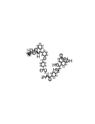 CC(C)N(CCOC(=O)c1ccc(COc2cccc([C@@H](NC(=O)O[C@H]3CN4CCC3CC4)c3ccccc3)c2)cc1)C(=O)c1ccc(CNC[C@H](O)c2ccc(O)c3[nH]c(=O)ccc23)cc1